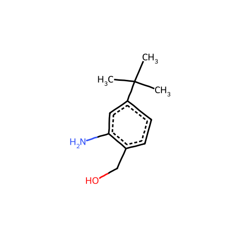 CC(C)(C)c1ccc(CO)c(N)c1